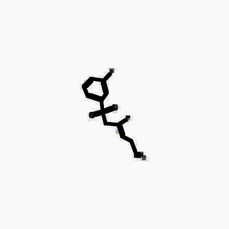 NC/C=C(\F)CS(=O)(=O)c1cccc(F)c1